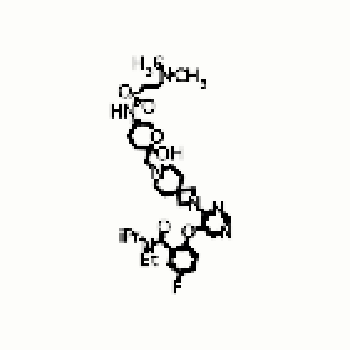 CCN(C(=O)c1cc(F)ccc1Oc1cncnc1N1CC2(CCN(C[C@@]3(O)CC[C@@H](NS(=O)(=O)CCN(C)C)CO3)CC2)C1)C(C)C